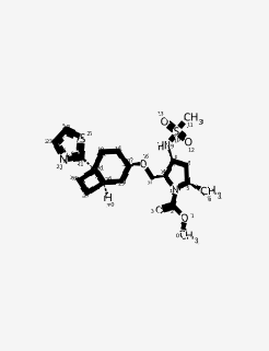 COC(=O)N1[C@H](C)C[C@H](NS(C)(=O)=O)[C@@H]1CO[C@@H]1CC[C@]2(c3nccs3)CC[C@@H]2C1